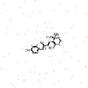 CC1=C(/C=C/C(=O)Nc2ccc(Cl)cn2)C(C)(C)CCC1